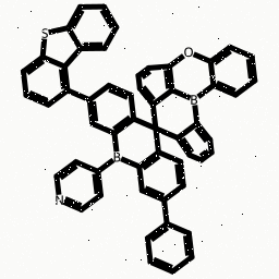 c1ccc(-c2ccc3c(c2)B(c2ccncc2)c2cc(-c4cccc5sc6ccccc6c45)ccc2C32c3ccccc3B3c4ccccc4Oc4cccc2c43)cc1